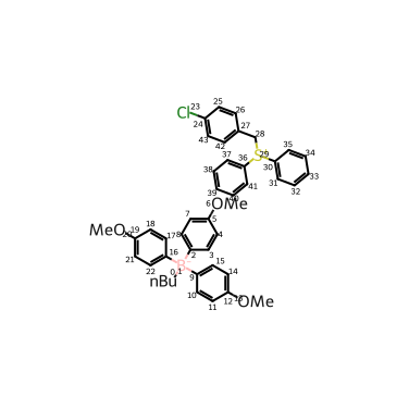 CCCC[B-](c1ccc(OC)cc1)(c1ccc(OC)cc1)c1ccc(OC)cc1.Clc1ccc(C[S+](c2ccccc2)c2ccccc2)cc1